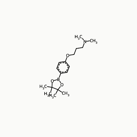 CN(C)CCCOc1ccc(B2OC(C)(C)C(C)(C)O2)cc1